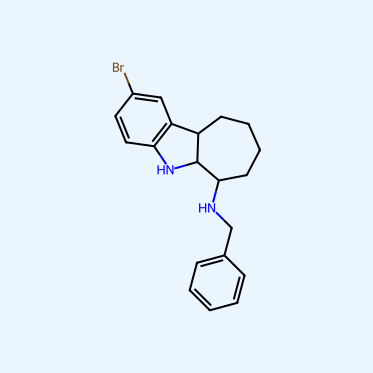 Brc1ccc2c(c1)C1CCCCC(NCc3ccccc3)C1N2